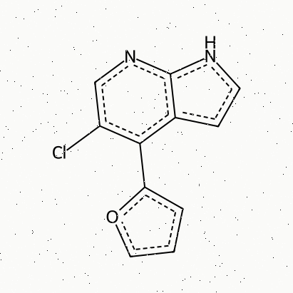 Clc1cnc2[nH]ccc2c1-c1ccco1